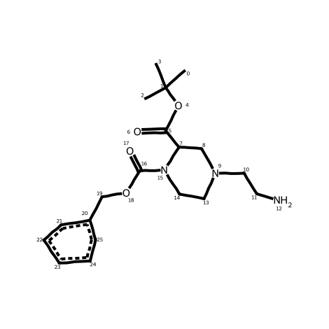 CC(C)(C)OC(=O)C1CN(CCN)CCN1C(=O)OCc1ccccc1